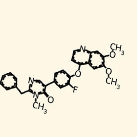 COc1cc2nccc(Oc3ccc(-c4cnc(Cc5ccccc5)n(C)c4=O)cc3F)c2cc1OC